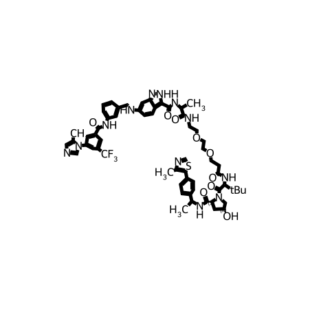 Cc1ncsc1-c1ccc(C(C)NC(=O)[C@@H]2C[C@@H](O)CN2C(=O)C(NC(=O)CCOCCOCCNC(=O)C(C)NC(=O)c2[nH]nc3cc(NCc4cccc(NC(=O)c5cc(-n6cncc6C)cc(C(F)(F)F)c5)c4)ccc23)C(C)(C)C)cc1